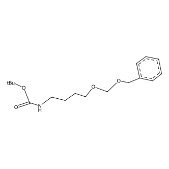 CC(C)(C)OC(=O)NCCCCOCOCc1ccccc1